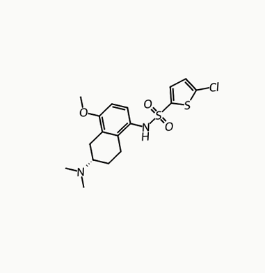 COc1ccc(NS(=O)(=O)c2ccc(Cl)s2)c2c1C[C@@H](N(C)C)CC2